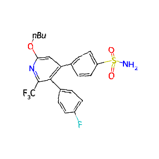 CCCCOc1cc(-c2ccc(S(N)(=O)=O)cc2)c(-c2ccc(F)cc2)c(C(F)(F)F)n1